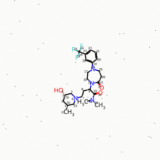 C[C@H]1C[C@H](O)CN(CCC(C(=O)N(C)C)N2CCN(c3cccc(C(F)(F)F)c3)CCC2=O)C1